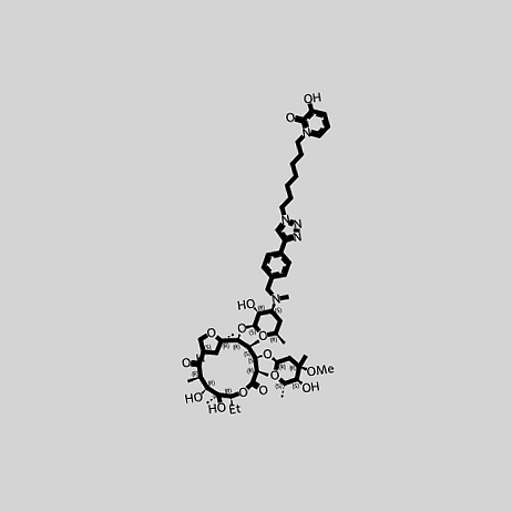 CC[C@H]1OC(=O)[C@H](C)[C@@H](O[C@H]2C[C@@](C)(OC)[C@@H](O)[C@H](C)O2)[C@H](C)[C@@H](O[C@@H]2O[C@H](C)C[C@H](N(C)Cc3ccc(-c4cn(CCCCCCCn5cccc(O)c5=O)nn4)cc3)[C@H]2O)[C@@]2(C)C[C@@H](CO2)C(=O)[C@H](C)[C@@H](O)[C@]1(C)O